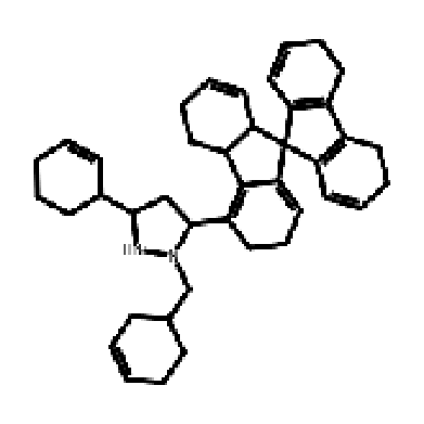 C1=CC(C2CC(C3=C4C(=CCC3)C3(C5=C(CCC=C5)C5=C3C=CCC5)C3C=CCCC43)N(CC3CC=CCC3)N2)CCC1